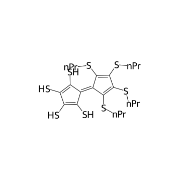 CCCSC1=C(SCCC)C(=C2C(S)=C(S)C(S)=C2S)C(SCCC)=C1SCCC